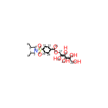 CCCN(CCC)S(=O)(=O)c1ccc(C(=O)OC[C@@H](O)[C@H](O)[C@@H](O)[C@@H](O)CO)cc1